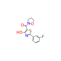 O=C(c1sc(-c2cccc(F)c2)nc1O)N1CCCO1